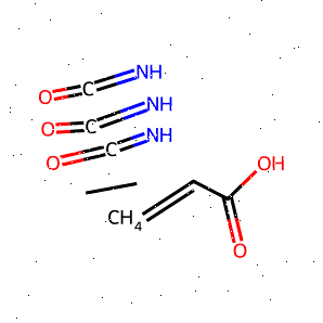 C.C=CC(=O)O.CC.N=C=O.N=C=O.N=C=O